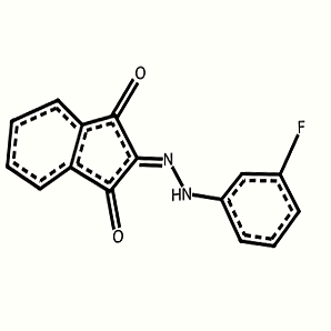 O=c1c(=NNc2cccc(F)c2)c(=O)c2ccccc12